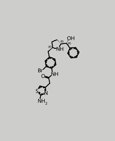 Nc1nc(CC(=O)Nc2ccc(C[C@H]3CC[C@H]([C@H](O)c4ccccc4)N3)cc2Br)cs1